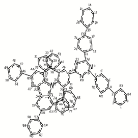 c1ccc(-c2ccc(-c3nc(-c4ccc(-c5ccccc5)cc4)nc(-c4cc(-c5ccccc5)c(-n5c6c(-c7ccccc7)cc(-c7ccccc7)cc6c6cc(-c7ccccc7)cc(-c7ccccc7)c65)c(-c5ccccc5)c4)n3)cc2)cc1